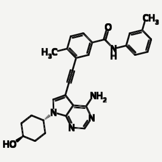 Cc1cccc(NC(=O)c2ccc(C)c(C#Cc3cn([C@H]4CC[C@H](O)CC4)c4ncnc(N)c34)c2)c1